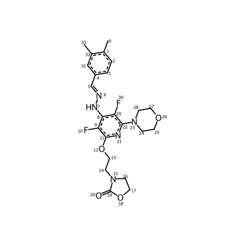 Cc1ccc(/C=N/Nc2c(F)c(OCCN3CCOC3=O)nc(N3CCOCC3)c2F)cc1C